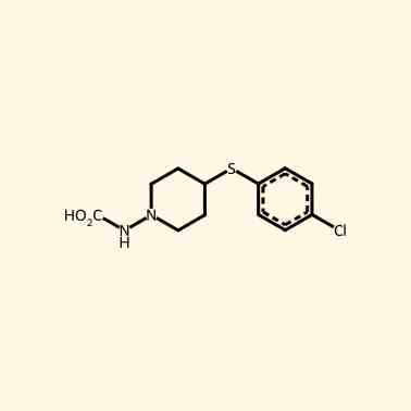 O=C(O)NN1CCC(Sc2ccc(Cl)cc2)CC1